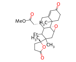 CCC1C2[C@H](CC(=O)OC)CC3=CC(=O)CCC3(C)[C@]23OC3CC1(C)[C@@]1(C)CCC(=O)O1